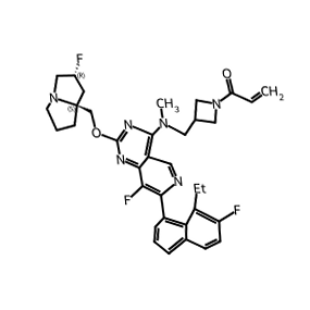 C=CC(=O)N1CC(CN(C)c2nc(OC[C@@]34CCCN3C[C@H](F)C4)nc3c(F)c(-c4cccc5ccc(F)c(CC)c45)ncc23)C1